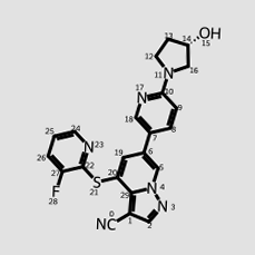 N#Cc1cnn2cc(-c3ccc(N4CC[C@H](O)C4)nc3)cc(Sc3ncccc3F)c12